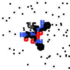 O=C(NCc1ccccc1)C(=O)C(C[C@@H]1CCNC1=O)NC(=O)[C@@H]1C[C@@H](C(F)(F)F)CN1C(=O)c1cc2ccccc2[nH]1